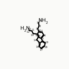 NCCCc1ccc2c(c1CCCN)Cc1ccccc1-2